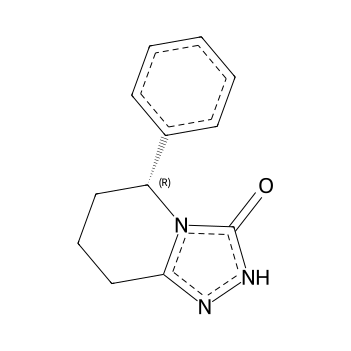 O=c1[nH]nc2n1[C@@H](c1ccccc1)CCC2